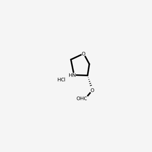 Cl.O=CO[C@H]1COCN1